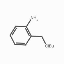 CC(C)COCc1ccc[c]c1N